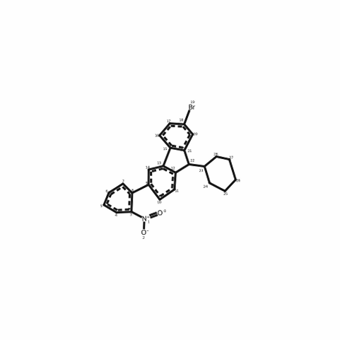 O=[N+]([O-])c1ccccc1-c1ccc2c(c1)-c1ccc(Br)cc1C2C1CCCCC1